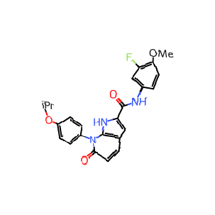 COc1ccc(NC(=O)c2cc3ccc(=O)n(-c4ccc(OC(C)C)cc4)c3[nH]2)cc1F